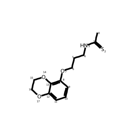 CC(=S)NCCCOc1cccc2c1OCCO2